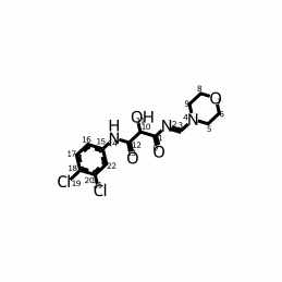 O=C(N=CN1CCOCC1)C(O)C(=O)Nc1ccc(Cl)c(Cl)c1